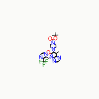 Cc1c(N2CCN(C(=O)OC(C)(C)C)CC2)c(=O)n(Cc2nccnc2C(F)(F)F)c2nccnc12